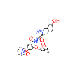 CCOc1cc(C(=O)N2C3CCCC2COC3)ccc1C(=O)NC[C@@H](O)[C@@H]1Cc2ccc(O)cc2CN1